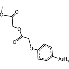 COC(=O)COC(=O)COc1ccc([AsH2])cc1